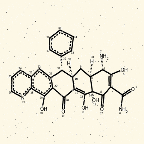 NC(=O)C1=C(O)[C@@H](N)[C@@H]2C[C@H]3C(=C(O)[C@]2(O)C1=O)C(=O)c1c(cc2cccnc2c1O)[C@@H]3c1ccccc1